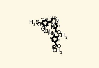 COC(=O)c1ccc(NC(=O)c2cc3nccc(-c4ccc(OC)c(OC)c4)n3n2)c(C)c1